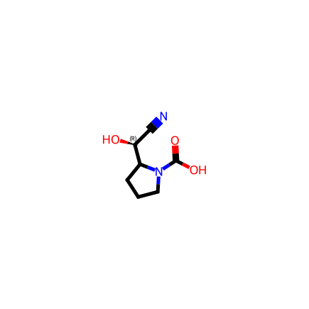 N#C[C@H](O)C1CCCN1C(=O)O